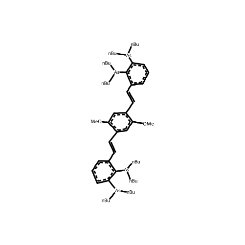 CCCC[As](CCCC)c1cccc(/C=C/c2cc(OC)c(/C=C/c3cccc([As](CCCC)CCCC)c3[As](CCCC)CCCC)cc2OC)c1[As](CCCC)CCCC